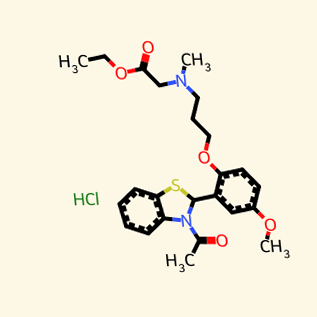 CCOC(=O)CN(C)CCCOc1ccc(OC)cc1C1Sc2ccccc2N1C(C)=O.Cl